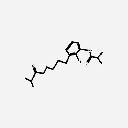 CC(C)C(=O)CCCCCc1cccc(NC(=O)C(C)C)c1Cl